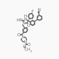 COC(=O)N1CCN(C(=O)c2cccc(CN3C(=N)N[C@](c4ccc(F)cc4)(c4cccc(-c5cccc(C#N)c5)c4)C3=O)c2)CC1